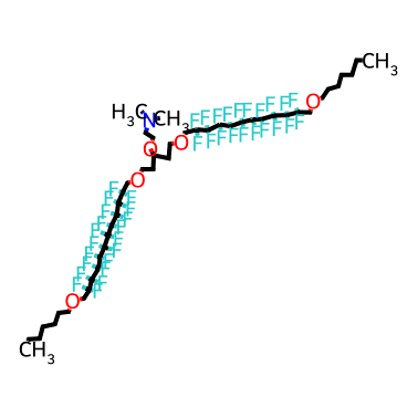 CCCCCCCOCC(F)(F)C(F)(F)C(F)(F)C(F)(F)C(F)(F)C(F)(F)C(F)(F)C(F)(F)C(F)(F)C(F)(F)COCCC(CCOCC(F)(F)C(F)(F)C(F)(F)C(F)(F)C(F)(F)C(F)(F)C(F)(F)C(F)(F)C(F)(F)C(F)(F)COCCCCCCC)OCCN(C)C